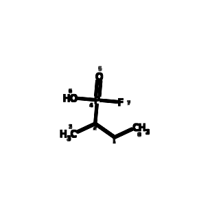 CCC(C)P(=O)(O)F